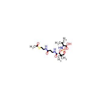 CC(=O)SCCNC(=O)CCNC(=O)[C@@H]1OP(=O)(NC(C(=O)O)C(C)C)OCC1(C)C